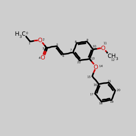 CCOC(=O)C=Cc1ccc(OC)c(OCc2ccccc2)c1